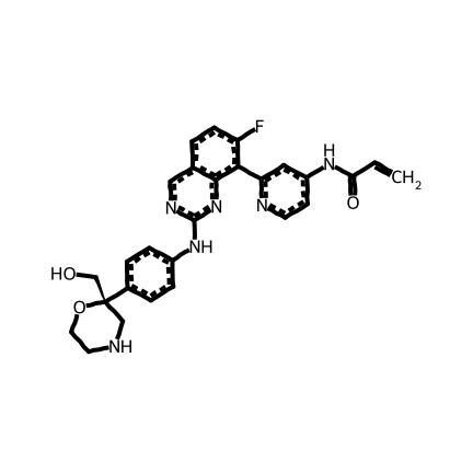 C=CC(=O)Nc1ccnc(-c2c(F)ccc3cnc(Nc4ccc([C@]5(CO)CNCCO5)cc4)nc23)c1